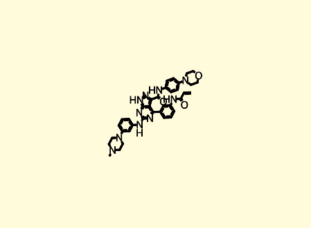 C=CC(=O)Nc1cccc(-c2nc(Nc3cccc(N4CCN(C)CC4)c3)nc3[nH]nc(C(=O)Nc4ccc(N5CCOCC5)cc4)c23)c1